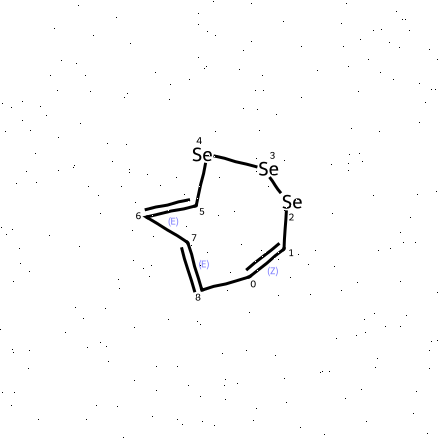 C1=C\[Se][Se][Se]/C=C/C=C/1